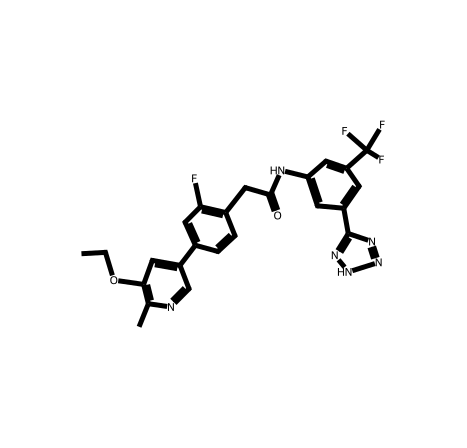 CCOc1cc(-c2ccc(CC(=O)Nc3cc(-c4nn[nH]n4)cc(C(F)(F)F)c3)c(F)c2)cnc1C